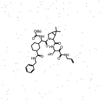 C=CCNC(=O)C(=O)C(CCC)NC(=O)C1C2C(CN1C(=O)C(NC(=O)OCC(C)C)C1CCCC(C(=O)NCc3ccccc3)C1)C2(C)C